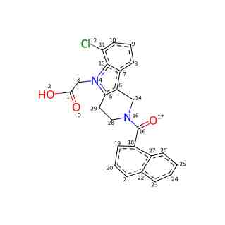 O=C(O)Cn1c2c(c3cccc(Cl)c31)CN(C(=O)c1cccc3ccccc13)CC2